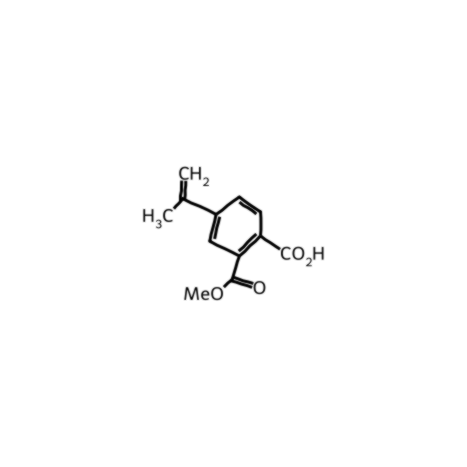 C=C(C)c1ccc(C(=O)O)c(C(=O)OC)c1